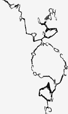 COC(=O)c1cccc(CN2CCOCCOCCN(C(COCCOCCN=C=S)c3cccc(C(=O)OC)n3)CCOCCOCC2)n1